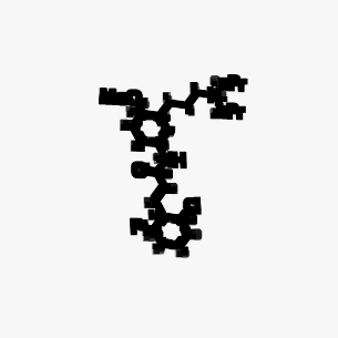 CCCN(CCC)CCCc1cc(NC(=O)C=Cc2c(F)cccc2Cl)ccc1OC